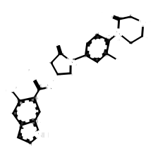 Cc1cc(N2C[C@H](NC(=O)c3cc4[nH]ccc4cc3Cl)CC2=O)ccc1N1CCOCC1=O